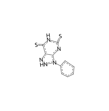 S=c1nc2n(-c3ccccc3)[nH]nc-2c(=S)[nH]1